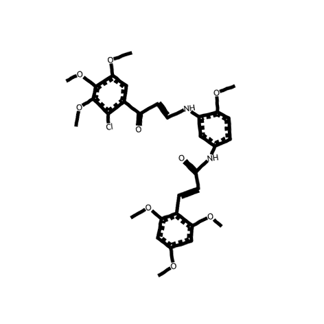 COc1cc(OC)c(C=CC(=O)Nc2ccc(OC)c(NC=CC(=O)c3cc(OC)c(OC)c(OC)c3Cl)c2)c(OC)c1